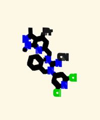 Cc1nn(C)c2nc(CN(C)/C(=N\C#N)N(Cc3ccccc3)c3cc(Cl)nc(Cl)c3)cc(C(C)C)c12